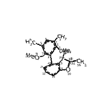 COc1c(C)cc(C)c(OC)c1-c1cccc2c1P(C(C)(C)C)[C@@H](C)O2